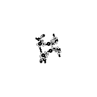 C=CCOC(=O)N[C@H](C(=O)N[C@@H](C)C(=O)Nc1ccc(COC(=O)Nc2cc(OCCCCCOc3cc(NC(=O)OCc4ccc(NC(=O)[C@H](C)NC(=O)[C@@H](NC(=O)OCC=C)C(C)C)cc4)c(C(=O)N4C/C(=C/C)C[C@H]4CO[Si](C)(C)C(C)(C)C)cc3OC)c(OC)cc2C(=O)N2C/C(=C/C)C[C@H]2CO[Si](C)(C)C(C)(C)C)cc1)C(C)C